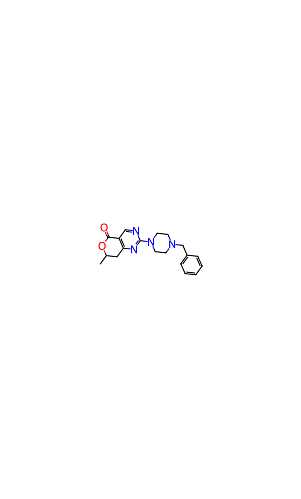 CC1Cc2nc(N3CCN(Cc4ccccc4)CC3)ncc2C(=O)O1